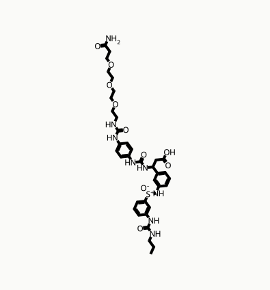 CCCNC(=O)Nc1cccc([S+]([O-])Nc2cccc(C(CC(=O)O)NC(=O)Nc3ccc(NC(=O)NCCOCCOCCOCCC(N)=O)cc3)c2)c1